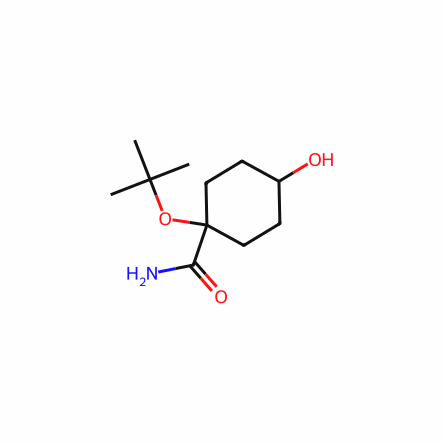 CC(C)(C)OC1(C(N)=O)CCC(O)CC1